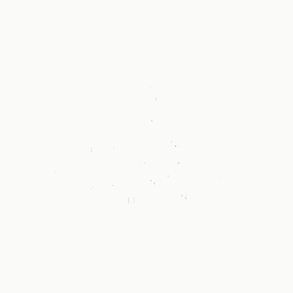 Cc1c(C)n(CC2CC2)c2c(N(C)Cc3ccc(F)cc3)nccc12.Cl